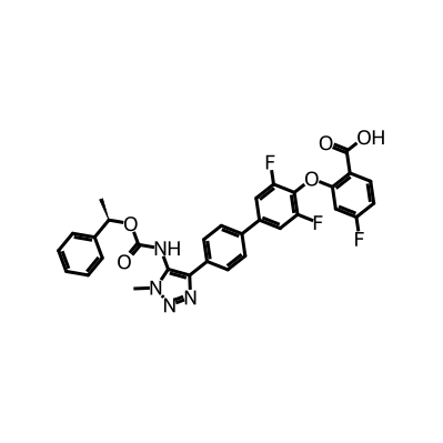 C[C@@H](OC(=O)Nc1c(-c2ccc(-c3cc(F)c(Oc4cc(F)ccc4C(=O)O)c(F)c3)cc2)nnn1C)c1ccccc1